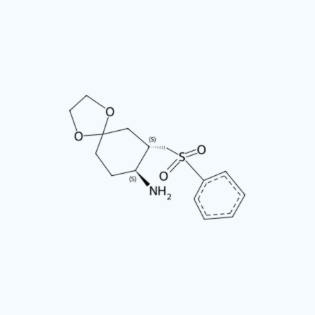 N[C@H]1CCC2(C[C@@H]1CS(=O)(=O)c1ccccc1)OCCO2